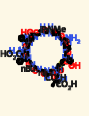 C#CCC(NC(=O)CNC(=O)[C@@H]1CSCC(=O)N[C@@H](Cc2ccc(O)cc2)C(=O)N2CCCC[C@H]2C(=O)N[C@@H](CC(N)=O)C(=O)N2CCC[C@H]2C(=O)N[C@@H](CNC)C(=O)N[C@@H](CC(C)C)C(=O)N2C[C@H](O)C[C@H]2C(=O)N[C@@H](Cc2c[nH]c3ccccc23)C(=O)N[C@@H](CCN)C(=O)N[C@@H](Cc2cn(CC(=O)O)c3ccccc23)C(=O)N(C)[C@@H](CCCC)C(=O)N(C)[C@@H](CCCC)C(=O)N[C@@H](CCC(=O)O)C(=O)N1)C(=O)O